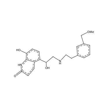 COCc1cccc(CCNCC(O)c2ccc(O)c3[nH]c(=O)ccc23)c1